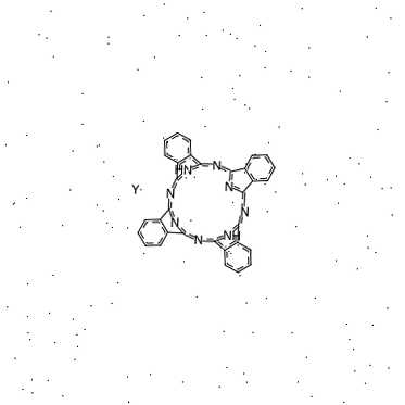 [Y].c1ccc2c(c1)-c1nc-2nc2[nH]c(nc3nc(nc4[nH]c(n1)c1ccccc41)-c1ccccc1-3)c1ccccc21